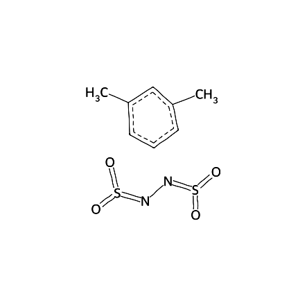 Cc1cccc(C)c1.O=S(=O)=NN=S(=O)=O